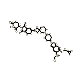 O=CNc1cc2cn(C3CCC(N4CCCC5(CN(c6ccc7c(c6)C(=O)N(C6CCC(=O)NC6=O)C7=O)C5)C4)CC3)nc2cc1OCC1CC1